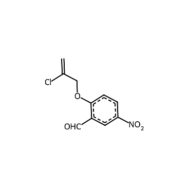 C=C(Cl)COc1ccc([N+](=O)[O-])cc1C=O